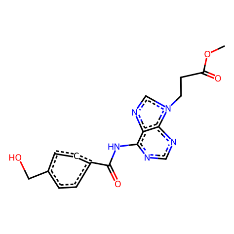 COC(=O)CCn1cnc2c(NC(=O)c3ccc(CO)cc3)ncnc21